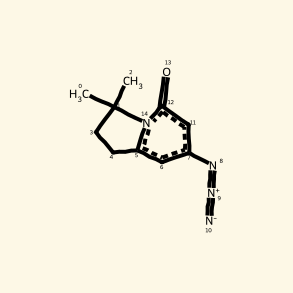 CC1(C)CCc2cc(N=[N+]=[N-])cc(=O)n21